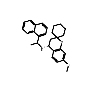 COc1ccc2c(c1)OC1(CCCCC1)C[C@H]2NC(C)c1cccc2ccccc12